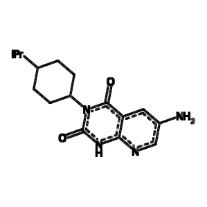 CC(C)C1CCC(n2c(=O)[nH]c3ncc(N)cc3c2=O)CC1